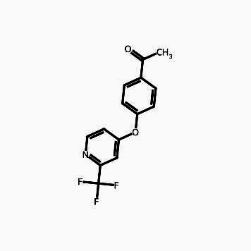 CC(=O)c1ccc(Oc2ccnc(C(F)(F)F)c2)cc1